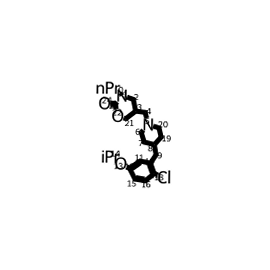 CCCN1CC(CN2CCC(Cc3cc(OC(C)C)ccc3Cl)CC2)COC1=O